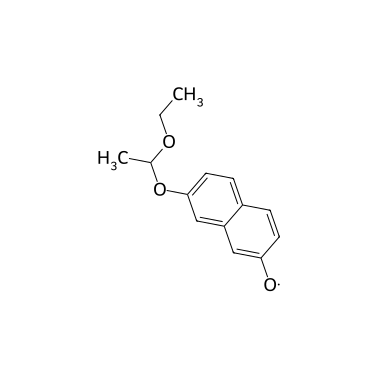 CCOC(C)Oc1ccc2ccc([O])cc2c1